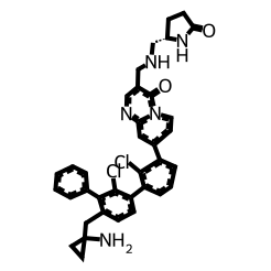 NC1(Cc2ccc(-c3cccc(-c4ccn5c(=O)c(CNC[C@@H]6CCC(=O)N6)cnc5c4)c3Cl)c(Cl)c2-c2ccccc2)CC1